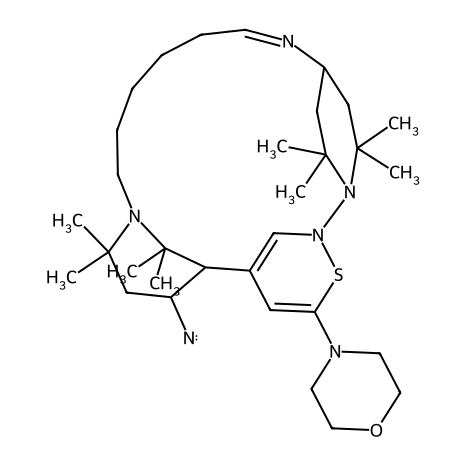 CC1(C)CC2CC(C)(C)N1N1C=C(C=C(N3CCOCC3)S1)C1C([N])CC(C)(C)N(CCCCC/C=N\2)C1(C)C